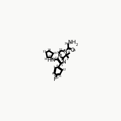 CC1(C)c2nc(-c3ccc(F)cc3)c(NC3CCCC3)n2CCN1C(=O)CN